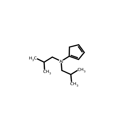 CC(C)[CH2][Al]([CH2]C(C)C)[C]1=CC=CC1